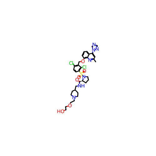 Cc1cc(-n2cncn2)c2cccc(OCc3c(Cl)ccc(S(=O)(=O)N4CCC[C@H]4C(=O)NCC4CCN(CCOCCO)CC4)c3Cl)c2n1